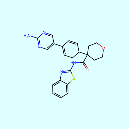 Nc1ncc(C2=CCC(C3(C(=O)Nc4nc5ccccc5s4)CCOCC3)C=C2)cn1